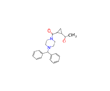 CC(=O)C1CC1C(=O)N1CCN(C(c2ccccc2)c2ccccc2)CC1